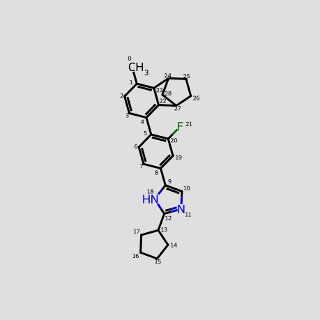 Cc1ccc(-c2ccc(-c3cnc(C4CCCC4)[nH]3)cc2F)c2c1C1CCC2C1